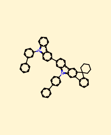 c1ccc(-c2ccc(-n3c4cc(-c5ccc6c(c5)c5ccccc5n6-c5cccc(-c6ccccc6)c5)ccc4c4cc5c(cc43)-c3ccccc3C53CCCCC3)cc2)cc1